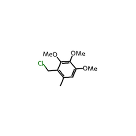 COc1cc(C)c(CCl)c(OC)c1OC